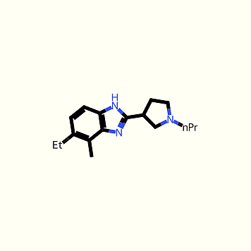 CCCN1CCC(c2nc3c(C)c(CC)ccc3[nH]2)C1